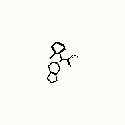 COC(=O)C(c1ccccc1Cl)N1CCC2=C(CCS2)C1